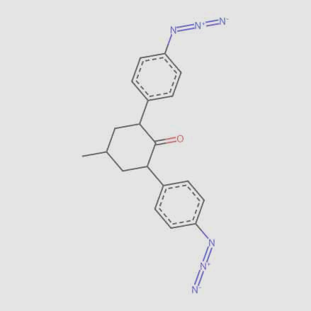 CC1CC(c2ccc(N=[N+]=[N-])cc2)C(=O)C(c2ccc(N=[N+]=[N-])cc2)C1